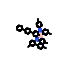 Cc1ccc(-c2cc(C)ccc2N2c3ccc(C)cc3B3c4cc(C)ccc4N(c4ccc(C)cc4)c4cc(-c5ccc(-c6ccccc6)cc5)cc2c43)cc1